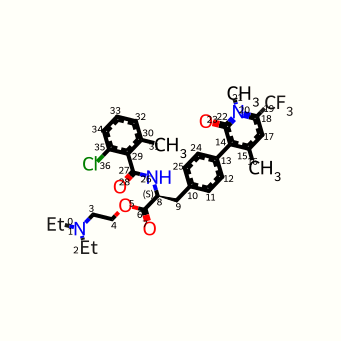 CCN(CC)CCOC(=O)[C@H](Cc1ccc(-c2c(C)cc(C(F)(F)F)n(C)c2=O)cc1)NC(=O)c1c(C)cccc1Cl